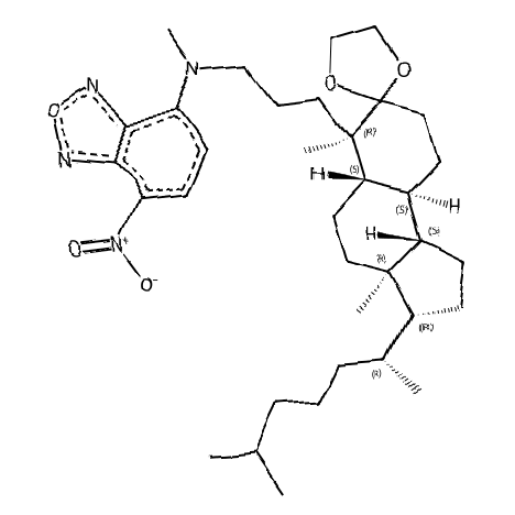 CC(C)CCC[C@@H](C)[C@H]1CC[C@H]2[C@@H]3CCC4(OCCO4)[C@](C)(CCCN(C)c4ccc([N+](=O)[O-])c5nonc45)[C@H]3CC[C@]12C